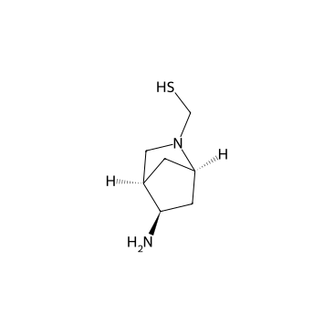 N[C@@H]1C[C@H]2C[C@@H]1CN2CS